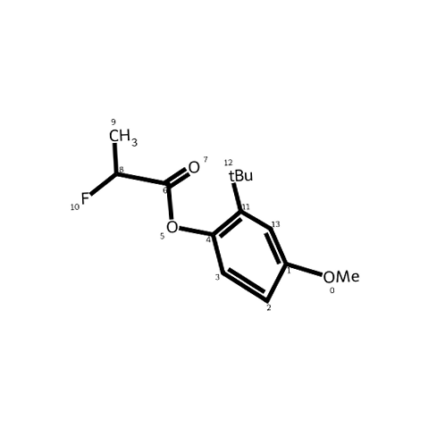 COc1ccc(OC(=O)C(C)F)c(C(C)(C)C)c1